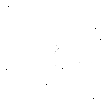 CC(C)CCOC1C[C@H]2[C@@H]3C(C)CC4N(C)C(=O)CC[C@]4(C)[C@@H]3CC[C@]2(C)C1